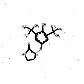 CC(C)(C)c1cc(C[C@@H]2SCNC2=O)cc(C(C)(C)C)c1O